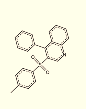 Cc1ccc(S(=O)(=O)c2cnc3ccccc3c2-c2ccccc2)cc1